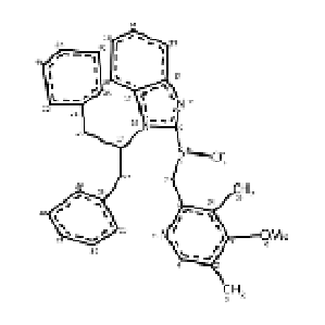 COc1c(C)cnc(C[S+]([O-])c2nc3ccccc3n2[C](Cc2ccccc2)Cc2ccccc2)c1C